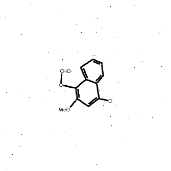 COc1cc(Cl)c2ccccc2c1OC=O